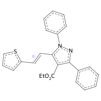 CCOC(=O)c1c(-c2ccccc2)nn(-c2ccccc2)c1/C=C/c1cccs1